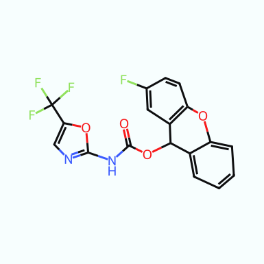 O=C(Nc1ncc(C(F)(F)F)o1)OC1c2ccccc2Oc2ccc(F)cc21